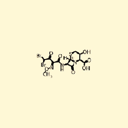 CON=C(C(=O)NC1C(=O)N2C(C(=O)O)C(O)CS[C@@H]12)C(=O)C(Br)Br